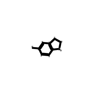 Cc1ccc2c(c1)CCS2